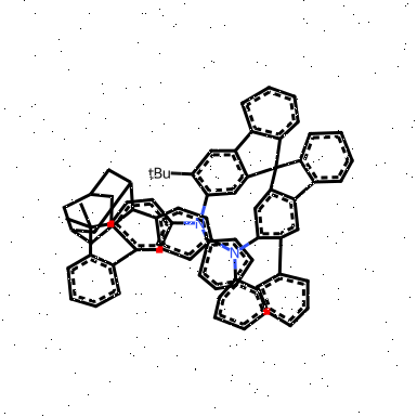 CC(C)(C)c1cc2c(cc1N(c1ccccc1)c1ccc3c(c1)-c1ccccc1C3(C)C)C1(c3ccccc3-c3cc(-c4ccccc4)c(N(c4ccccc4)c4ccc(C5C6CC7CC(C6)CC5C7)cc4)cc31)c1ccccc1-2